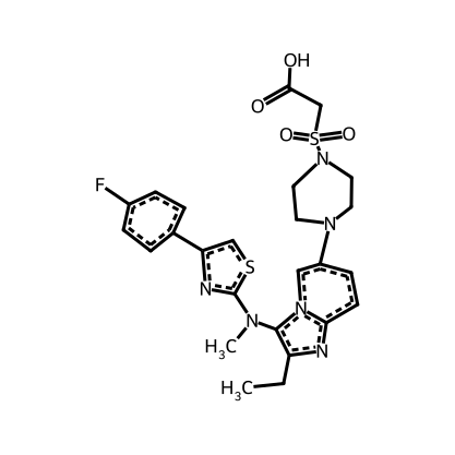 CCc1nc2ccc(N3CCN(S(=O)(=O)CC(=O)O)CC3)cn2c1N(C)c1nc(-c2ccc(F)cc2)cs1